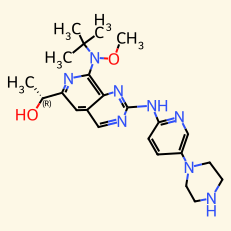 CON(c1nc([C@@H](C)O)cc2cnc(Nc3ccc(N4CCNCC4)cn3)nc12)C(C)(C)C